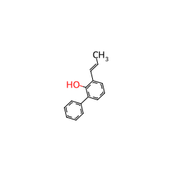 CC=Cc1cccc(-c2ccccc2)c1O